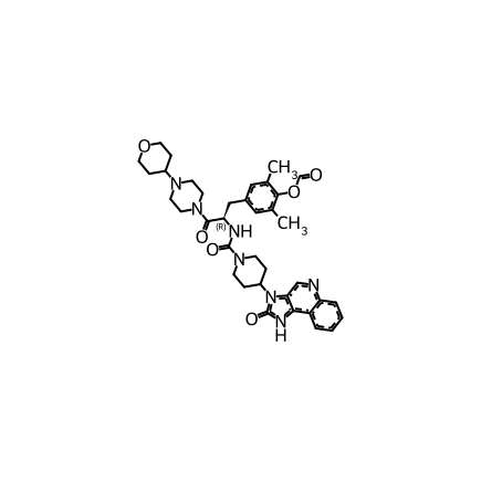 Cc1cc(C[C@@H](NC(=O)N2CCC(n3c(=O)[nH]c4c5ccccc5ncc43)CC2)C(=O)N2CCN(C3CCOCC3)CC2)cc(C)c1OC=O